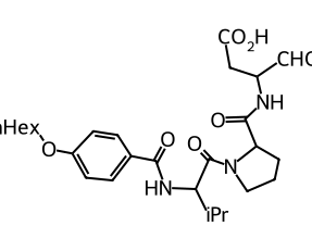 CCCCCCOc1ccc(C(=O)NC(C(=O)N2CCCC2C(=O)NC(C=O)CC(=O)O)C(C)C)cc1